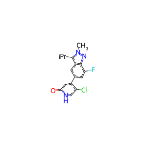 CC(C)c1c2cc(-c3cc(=O)[nH]cc3Cl)cc(F)c2nn1C